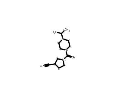 CC(C)N1CCN(C(=O)N2CCC(C#N)C2)CC1